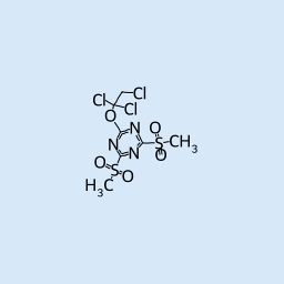 CS(=O)(=O)c1nc(OC(Cl)(Cl)CCl)nc(S(C)(=O)=O)n1